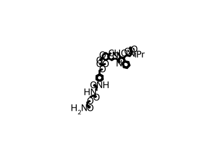 CC(C)N(CCc1c2c(nc3ccccc13)/C(=C/C1=C(C=O)COC(=O)C1OC(=O)OCc1ccc(NC(=O)CNC(=O)COCC(N)=O)cc1)N(C)C2)S(C)(=O)=O